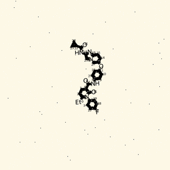 CCc1ccc(C(=O)Nc2ccc(Oc3ccc4nc(NC(=O)C5CC5)cn4c3)cc2)c(=O)n1-c1ccc(F)cc1